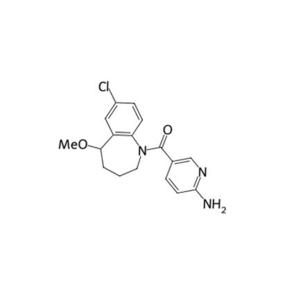 COC1CCCN(C(=O)c2ccc(N)nc2)c2ccc(Cl)cc21